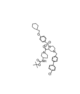 CC(C)(C)OC(=O)NC1CCN(C(=O)C2CN(Cc3ccc(-c4ccc(Cl)cc4)cc3)CCN2S(=O)(=O)c2ccc(OCC3CCCCC3)cc2)CC1